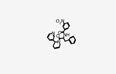 O=C(NC(Cc1ccccc1)C(=O)N1CC=CCC1c1cccnc1)c1cccc([N+](=O)[O-])c1